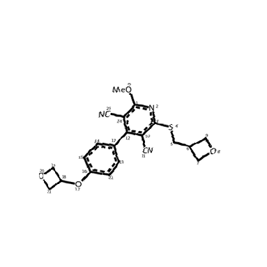 COc1nc(SCC2COC2)c(C#N)c(-c2ccc(OC3COC3)cc2)c1C#N